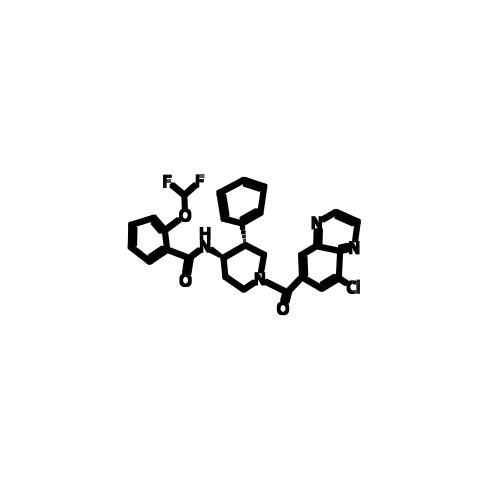 O=C(N[C@@H]1CCN(C(=O)c2cc(Cl)c3nccnc3c2)C[C@H]1c1ccccc1)c1ccccc1OC(F)F